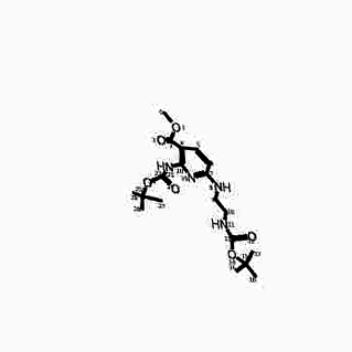 COC(=O)c1ccc(NCCNC(=O)OC(C)(C)C)nc1NC(=O)OC(C)(C)C